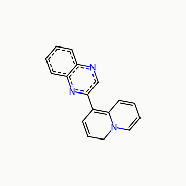 [c]1nc2ccccc2nc1C1=C2C=CC=CN2CC=C1